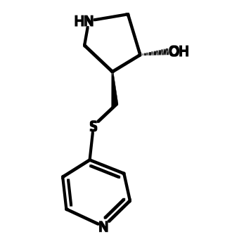 O[C@H]1CNC[C@@H]1CSc1ccncc1